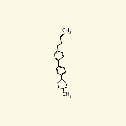 C/C=C/CCc1ccc(-c2ccc(C3CCC(C)CC3)cc2)cc1